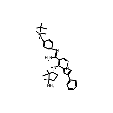 CC1(C)[C@H](Nc2c(/C(N)=N/c3ccc(O[Si](C)(C)C(C)(C)C)cc3)cnn3cc(-c4ccccc4)cc23)CC[C@]1(C)N